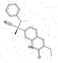 CCc1cc2ccc([C@](C)(C#N)[C@@H](C)c3ccccc3)cc2[nH]c1=O